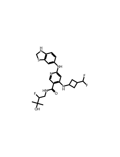 CC(C)(O)C(F)CNC(=O)c1cnc(Nc2ccc3c(c2)SCN3)cc1NC1CC(C(F)F)C1